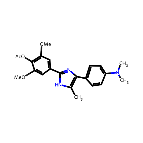 COc1cc(-c2nc(-c3ccc(N(C)C)cc3)c(C)[nH]2)cc(OC)c1OC(C)=O